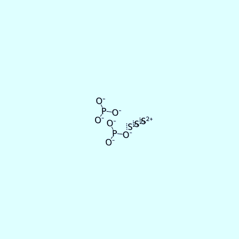 [O-]P([O-])[O-].[O-]P([O-])[O-].[S+2].[S+2].[S+2]